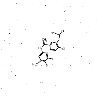 C=C(Nc1cc(C)c(F)c(F)c1)c1ccc(Cl)c(SC(CC)CCC)c1